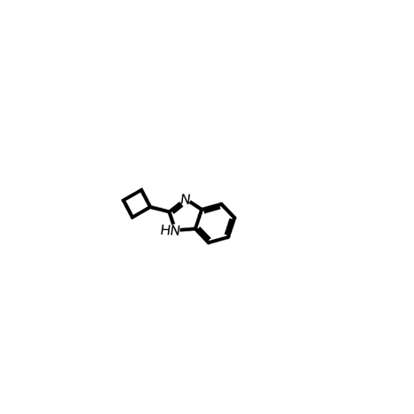 c1ccc2[nH]c(C3CCC3)nc2c1